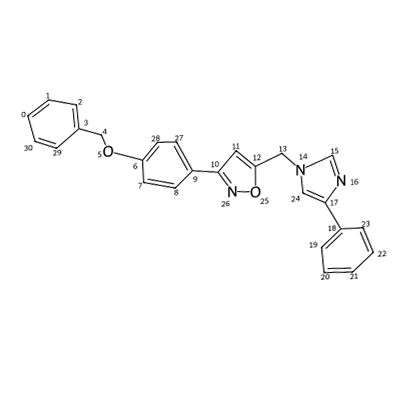 c1ccc(COc2ccc(-c3cc(Cn4cnc(-c5ccccc5)c4)on3)cc2)cc1